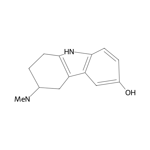 CNC1CCc2[nH]c3ccc(O)cc3c2C1